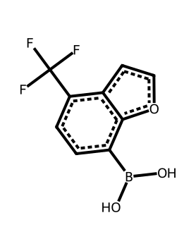 OB(O)c1ccc(C(F)(F)F)c2ccoc12